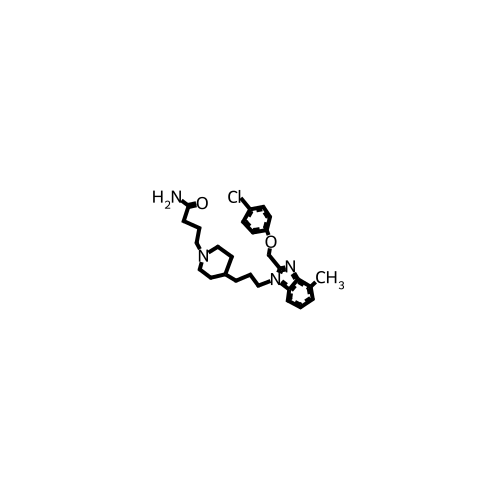 Cc1cccc2c1nc(COc1ccc(Cl)cc1)n2CCCC1CCN(CCCC(N)=O)CC1